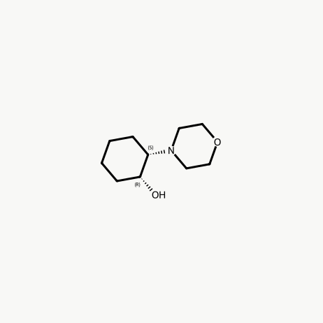 O[C@@H]1CCCC[C@@H]1N1CCOCC1